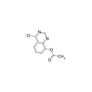 CC(=O)Oc1cccc2c(Cl)ncnc12